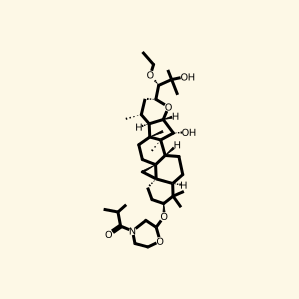 CCO[C@@H]([C@H]1C[C@@H](C)[C@H]2[C@H](O1)[C@H](O)[C@@]1(C)[C@@H]3CC[C@H]4C(C)(C)[C@@H](OC5CN(C(=O)C(C)C)CCO5)CC[C@@]45C[C@@]35CC[C@]21C)C(C)(C)O